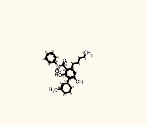 CCCCCc1cc(O)c(C2C=C(C)CCC2)c(O)c1C(=O)N(C)c1ccccc1